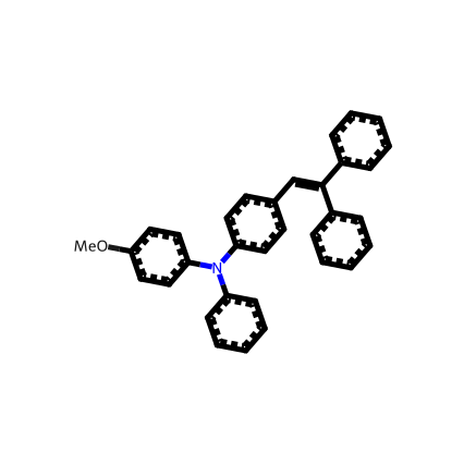 COc1ccc(N(c2ccccc2)c2ccc(C=C(c3ccccc3)c3ccccc3)cc2)cc1